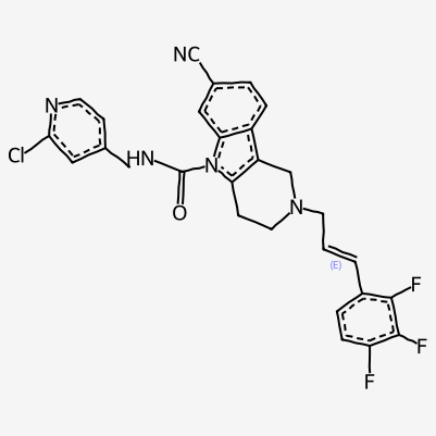 N#Cc1ccc2c3c(n(C(=O)NCc4ccnc(Cl)c4)c2c1)CCN(C/C=C/c1ccc(F)c(F)c1F)C3